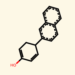 OC1=CCC(c2ccc3ccccc3c2)C=C1